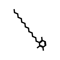 [CH2]c1ccc(C)c(C)c1CCCCCCCCCCCCCC